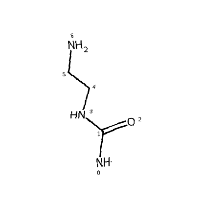 [NH]C(=O)NCCN